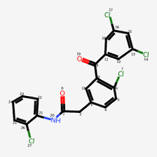 O=C(Cc1ccc(Cl)c(C(=O)c2cc(Cl)cc(Cl)c2)c1)Nc1ccccc1Cl